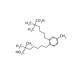 Cc1ccc(CCCCCC(C)(C)C(=O)O)c(CCCCC(C)(C)C(=O)O)c1